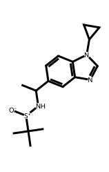 CC(N[S+]([O-])C(C)(C)C)c1ccc2c(c1)ncn2C1CC1